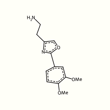 COc1ccc(-c2nc(CCN)co2)cc1OC